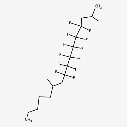 CCCCCC(I)CC(F)(F)C(F)(F)C(F)(F)C(F)(F)C(F)(F)C(F)(F)CC(C)I